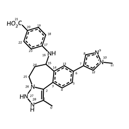 CC1=C2c3ccc(-c4cnn(C)c4)cc3C(Nc3ccc(C(=O)O)cc3)CCN2NN1